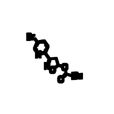 CCC(C)C(=O)O[C@@H]1CC(c2ccc(Br)cn2)=NO1